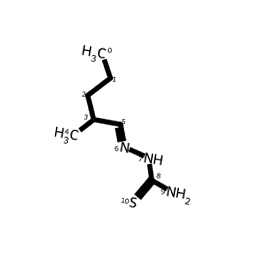 CCCC(C)C=NNC(N)=S